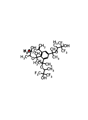 C=C(C)c1cc(C(C)(C)OC(C)C(O)(C(F)(F)F)C(F)(F)F)cc(C(C)(C)OC(C)C(O)(C(F)(F)F)C(F)(F)F)c1C(C)(C)OC(C)C(C)(O)C(F)(F)F